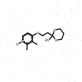 CCCC1(CCOc2cc[n+]([O-])c(C)c2C)OCCCO1